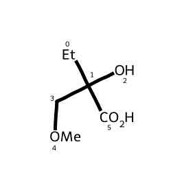 CCC(O)(COC)C(=O)O